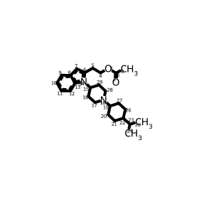 CC(=O)OCCc1cc2ccccc2n1C1CCN(C2CCC(C(C)C)CC2)CC1